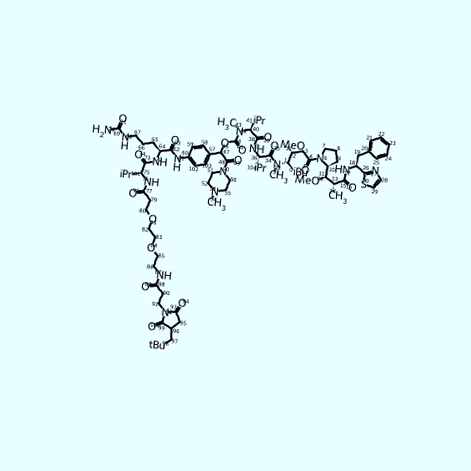 CC[C@H](C)[C@@H]([C@@H](CC(=O)N1CCC[C@H]1[C@H](OC)[C@@H](C)C(=O)N[C@@H](Cc1ccccc1)c1nccs1)OC)N(C)C(=O)[C@@H](NC(=O)[C@H](C(C)C)N(C)C(=O)OC(C(=O)N1CCN(C)CC1)c1ccc(NC(=O)[C@H](CCCNC(N)=O)NC(=O)[C@@H](NC(=O)CCOCCOCCNC(=O)CCN2C(=O)CC(CC(C)(C)C)C2=O)C(C)C)cc1)C(C)C